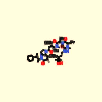 CC[C@@H](C)[C@H]([C@H](CC(=O)N1CCC[C@@H]1[C@@H](OC)[C@H](C)C(=O)N[C@@H](C)[C@H](C)c1ccccc1)OC)N(C)C(=O)[C@H](NC(=O)[C@@H](C(C)C)N(C)C(=O)NCCC[Si](C)(C)O)C(C)C